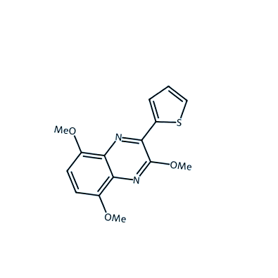 COc1nc2c(OC)ccc(OC)c2nc1-c1cccs1